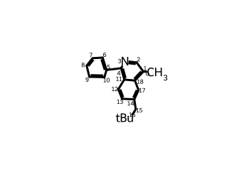 Cc1cnc(-c2ccccc2)c2ccc(CC(C)(C)C)cc12